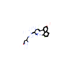 CCc1c(F)ccc2cc(O)cc(C3=C(F)C(=N)/C(=C(\N)NCC4CNC(=O)C4)C=N3)c12